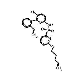 C=CCCCOc1cccc(S(=O)(=O)Nc2ccc(Cl)c(-c3ccccc3C=C)n2)n1